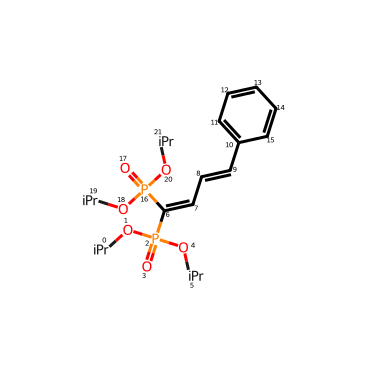 CC(C)OP(=O)(OC(C)C)C(=CC=Cc1ccccc1)P(=O)(OC(C)C)OC(C)C